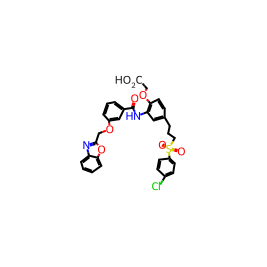 O=C(O)COc1ccc(CCCS(=O)(=O)c2ccc(Cl)cc2)cc1NC(=O)c1cccc(OCc2nc3ccccc3o2)c1